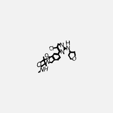 CNC(=O)C(C)(N1Cc2ccc(-c3nc(NC4CCOCC4)ncc3Cl)cc2C1=O)C(C)(C)C